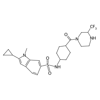 Cn1c(C2CC2)cc2ccc(S(=O)(=O)NC3CCC(C(=O)N4CCNC(C(F)(F)F)C4)CC3)cc21